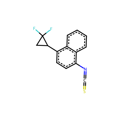 FC1(F)CC1c1ccc(N=C=S)c2ccccc12